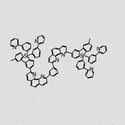 Cc1ccc2c(c1)-c1cc(-c3ccc4ccc5ccc(-c6cccc(-c7ccc8ccc9ccc(-c%10ccc%11c(c%10)-c%10cc(C)ccc%10[Si]%11(c%10cccc(-c%11ccccn%11)c%10)c%10cccc(-c%11ccccn%11)c%10)nc9c8n7)c6)nc5c4n3)ccc1[Si]2(c1cccc(-c2ccccn2)c1)c1cccc(-c2ccccn2)c1